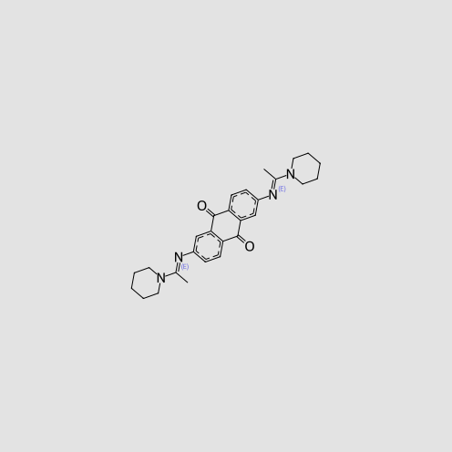 C/C(=N\c1ccc2c(c1)C(=O)c1ccc(/N=C(\C)N3CCCCC3)cc1C2=O)N1CCCCC1